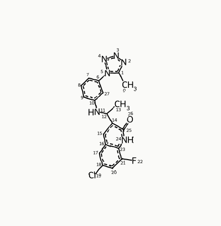 Cc1nnnn1-c1cccc(NC(C)c2cc3cc(Cl)cc(F)c3[nH]c2=O)c1